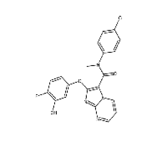 CN(C(=O)c1c(Oc2ccc(F)c(O)c2)nc2ncccn12)c1ccc(Cl)cc1